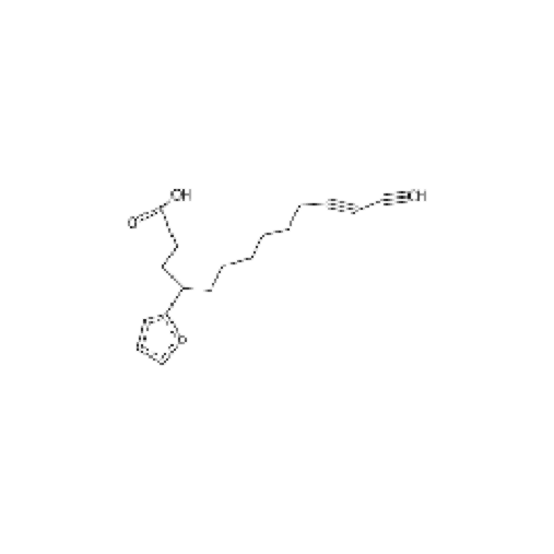 C#CC#CCCCCCCC(CCC(=O)O)c1ccco1